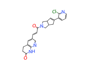 O=C1CCc2cc(/C=C/C(=O)N3CC4C=C(c5cccnc5Cl)CC4C3)cnc2N1